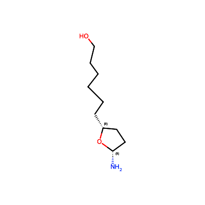 N[C@H]1CC[C@@H](CCCCCCO)O1